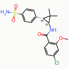 COc1cc(Cl)ccc1C(=O)N[C@H]1[C@H](c2ccc(S(N)(=O)=O)cc2)C1(C)C